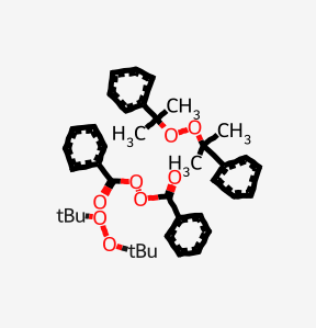 CC(C)(C)OOC(C)(C)C.CC(C)(OOC(C)(C)c1ccccc1)c1ccccc1.O=C(OOC(=O)c1ccccc1)c1ccccc1